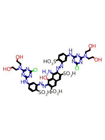 Nc1c(/N=N/c2cc(Nc3nc(Cl)nc(N(CCO)CCO)n3)ccc2S(=O)(=O)O)c(S(=O)(=O)O)cc2cc(S(=O)(=O)O)c(/N=N/c3cc(Nc4nc(Cl)nc(N(CCO)CCO)n4)ccc3S(=O)(=O)O)c(O)c12